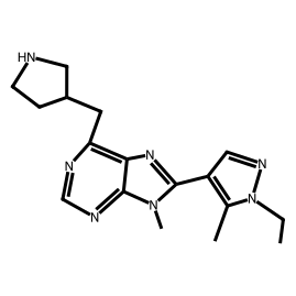 CCn1ncc(-c2nc3c(CC4CCNC4)ncnc3n2C)c1C